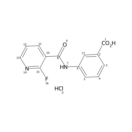 Cl.O=C(O)c1cccc(NC(=O)c2cccnc2F)c1